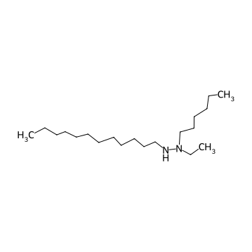 CCCCCCCCCCCCNN(CC)CCCCCC